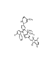 CC1(C)c2cc(-c3cc(C#N)ccc3F)ccc2N(c2ccc(F)c3ccccc23)c2sc(C=C3C(=O)c4c(F)ccc(F)c4C3=O)cc21